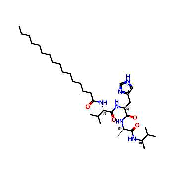 CCCCCCCCCCCCCCCC(=O)N[C@H](C(=O)N[C@@H](Cc1c[nH]cn1)C(=O)N[C@@H](C)C(=O)N[C@H](C)C(C)C)C(C)C